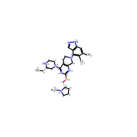 Cc1cc2[nH]ncc2c(N2CCc3c(nc(OC[C@@H]4CCCN4C)nc3N3CCN[C@@H](CC#N)C3)C2)c1C(F)(F)F